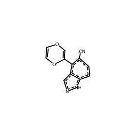 N#Cc1ccc2[nH]ncc2c1C1=COC=CO1